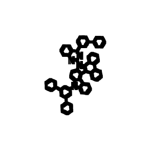 c1ccc(-c2cccc(-c3nc(-n4c5ccc6c(c7ccccc7n6-c6cc(-c7ccccc7)cc(-c7ccccc7)c6)c5c5c6ccccc6c6ccccc6c54)nc4ccccc34)c2)cc1